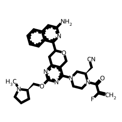 C=C(F)C(=O)N1CCN(c2nc(OC[C@H]3CCCN3C)nc3c2COC(c2nc(N)cc4ccccc24)C3)C[C@H]1CC#N